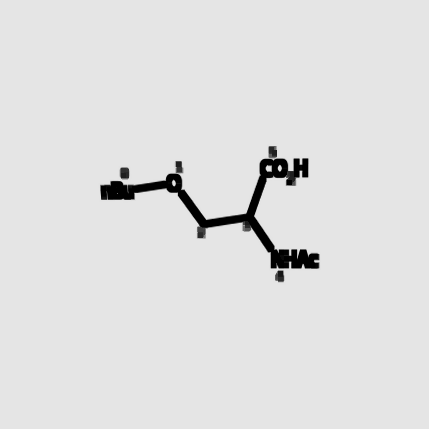 CCCCOCC(NC(C)=O)C(=O)O